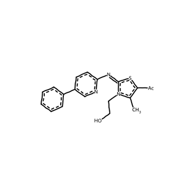 CC(=O)c1sc(=Nc2ccc(-c3ccccc3)cn2)n(CCO)c1C